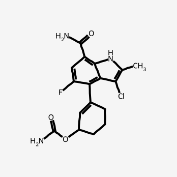 Cc1[nH]c2c(C(N)=O)cc(F)c(C3=CC(OC(N)=O)CCC3)c2c1Cl